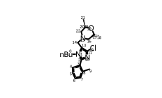 CCCCn1c(-c2ccccc2C)nc(Cl)c1CN1C[C@@H](C)O[C@H](C)C1